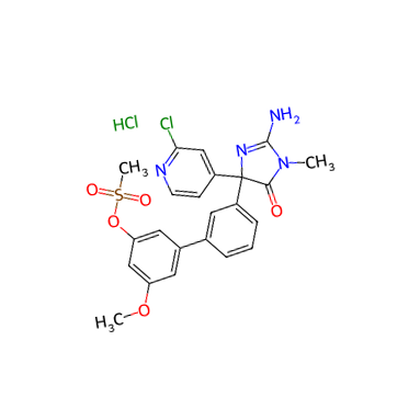 COc1cc(OS(C)(=O)=O)cc(-c2cccc(C3(c4ccnc(Cl)c4)N=C(N)N(C)C3=O)c2)c1.Cl